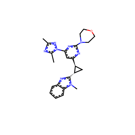 Cc1nc(C)n(-c2cc([C@H]3C[C@@H]3c3nc4ccccc4n3C)nc(N3CCOCC3)n2)n1